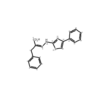 O=C(O)C(Cc1ccccc1)=NNc1nc(-c2ccccc2)cs1